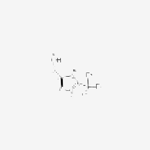 OCc1cnc(C(F)(F)F)s1